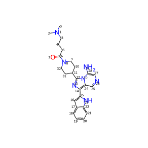 CN(C)CCCC(=O)N1CCC(c2nc(-c3cc4ccccc4[nH]3)c3cncc(N)n23)CC1